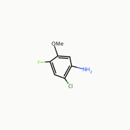 COc1cc(N)c(Cl)cc1F